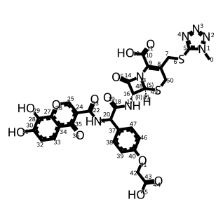 Cn1nnnc1SCC1=C(C(=O)O)N2C(=O)[C@@H](NC(=O)C(NC(=O)c3coc4c(O)c(O)ccc4c3=O)c3ccc(OCC(=O)O)cc3)[C@@H]2SC1